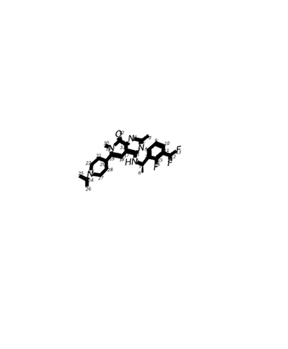 Cc1nc(N[C@H](C)c2cccc(C(F)F)c2F)c2cc(C3CCN(C(C)C)CC3)n(C)c(=O)c2n1